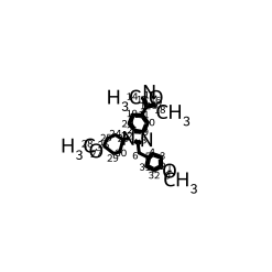 COc1ccc(Cc2nc3cc(-c4c(C)noc4C)ccc3n2C2CCC(OC)CC2)cc1